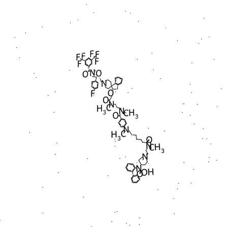 CN(CCN1CCC(N(C(=O)O)c2ccccc2-c2ccccc2)CC1)C(=O)CCCCCCN(C)c1ccc(C(=O)N(C)CCCN(C)C(=O)CO[C@H]2Cc3ccccc3C23CCN(CC[C@]2(c4ccc(F)cc4)CN(C(=O)c4cc(C(F)(F)F)cc(C(F)(F)F)c4)CO2)CC3)cc1